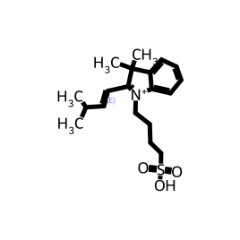 CC(C)/C=C/C1=[N+](CCCCS(=O)(=O)O)c2ccccc2C1(C)C